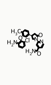 Cc1ccc([C@H]2CC(=O)N(c3cc(C(N)=O)ccn3)C2)cc1Oc1c(N)cccc1Cl